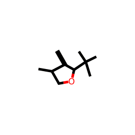 C=C1C(C)COC1C(C)(C)C